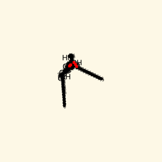 CCC=CCC=CCC=CCC=CCC=CCC=CCCC(=O)N[C@H](C(=O)Oc1ccc2c(C(=O)c3ccc(OCCC4CCCCN4)cc3)c(-c3ccc([C@](NC(=O)CCC=CCC=CCC=CCC=CCC=CCC=CCC)(C(=O)O)C(C)C)cc3)sc2c1)C(C)C